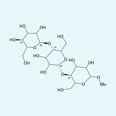 CC(C)(C)OC1OC(CO)[C@@H](O[C@H]2OC(CO)[C@@H](O[C@H]3OC(CO)[C@@H](O)C(O)C3O)C(O)C2O)C(O)C1O